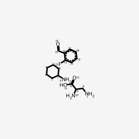 NC1CCCCC1.NCC(N)C(=O)O.O=Cc1ccccc1F